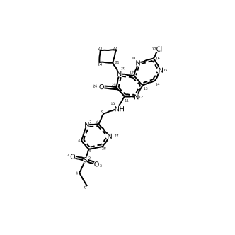 CCS(=O)(=O)c1cnc(CNc2nc3cnc(Cl)nc3n(C3CCC3)c2=O)nc1